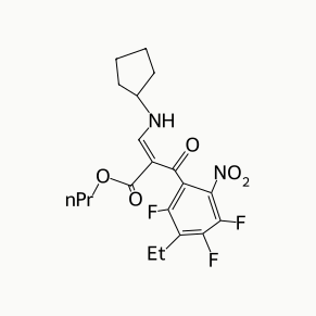 CCCOC(=O)/C(=C/NC1CCCC1)C(=O)c1c(F)c(CC)c(F)c(F)c1[N+](=O)[O-]